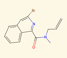 C=CCN(C)C(=O)c1nc(Br)cc2ccccc12